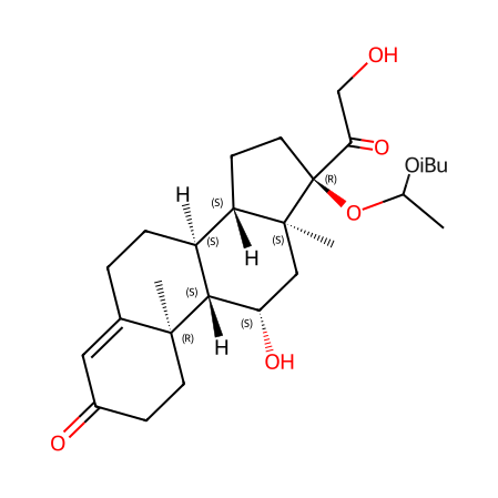 CC(C)COC(C)O[C@]1(C(=O)CO)CC[C@H]2[C@@H]3CCC4=CC(=O)CC[C@]4(C)[C@H]3[C@@H](O)C[C@@]21C